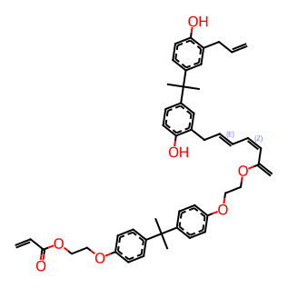 C=CCc1cc(C(C)(C)c2ccc(O)c(C/C=C/C=C\C(=C)OCCOc3ccc(C(C)(C)c4ccc(OCCOC(=O)C=C)cc4)cc3)c2)ccc1O